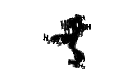 C/N=C/[C@H]1CC(F)(F)CN1C(=O)CNC(=O)c1ccnc2ccc(OCCCCN3CCN(C(=O)[C@H](CC(=O)OC)NC(=O)[C@H](CSCCNC(=O)CCCc4ccc(C)cc4)NC(=O)CN4CCN(CC(=O)O)CCN(CC(=O)O)CCN(CC(=O)O)CC4)CC3)cc12